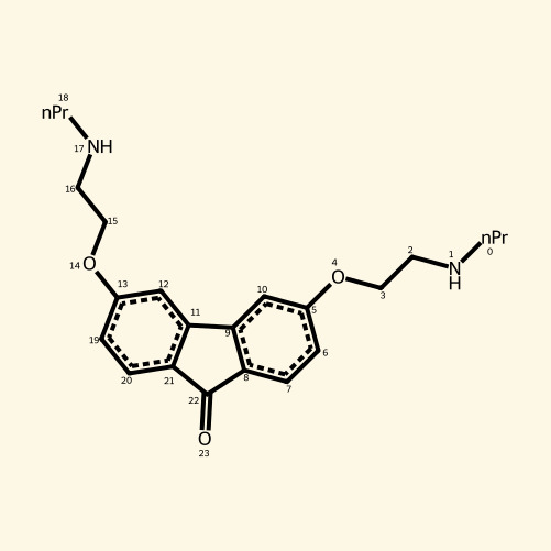 CCCNCCOc1ccc2c(c1)-c1cc(OCCNCCC)ccc1C2=O